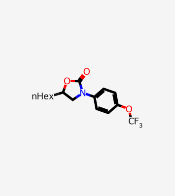 CCCCCCC1CN(c2ccc(OC(F)(F)F)cc2)C(=O)O1